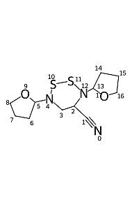 N#CC1CN(C2CCCO2)SSN1C1CCCO1